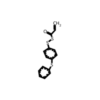 C=CC(=O)SSc1ccc(Sc2ccccc2)cc1